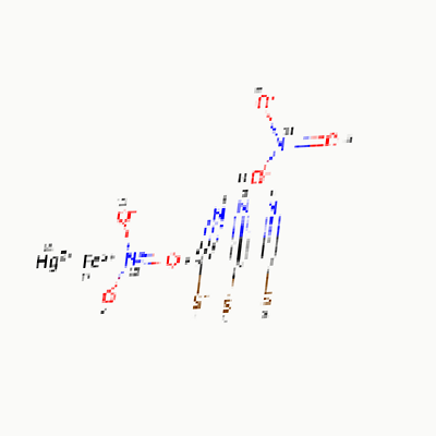 N#C[S-].N#C[S-].N#C[S-].O=[N+]([O-])[O-].O=[N+]([O-])[O-].[Fe+3].[Hg+2]